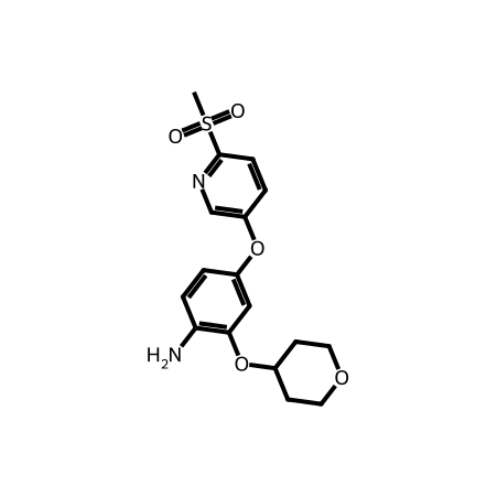 CS(=O)(=O)c1ccc(Oc2ccc(N)c(OC3CCOCC3)c2)cn1